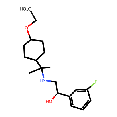 CC(C)(NC[C@H](O)c1cccc(F)c1)C1CCC(OCC(=O)O)CC1